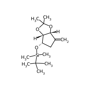 C=C1C[C@H](O[Si](C)(C)C(C)(C)C)[C@@H]2OC(C)(C)O[C@H]12